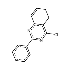 Clc1nc(-c2ccccc2)nc2c1CCC=C2